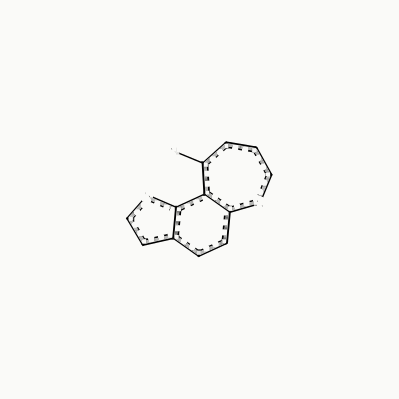 Nc1cccnc2ccc3ccnc3c12